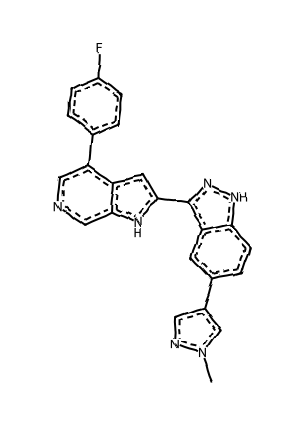 Cn1cc(-c2ccc3[nH]nc(-c4cc5c(-c6ccc(F)cc6)cncc5[nH]4)c3c2)cn1